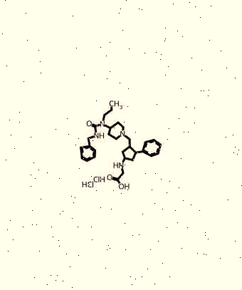 CCCN(C(=O)NCc1ccccc1)C1CCN(CC2CC(NCC(=O)O)CC2c2ccccc2)CC1.Cl.Cl